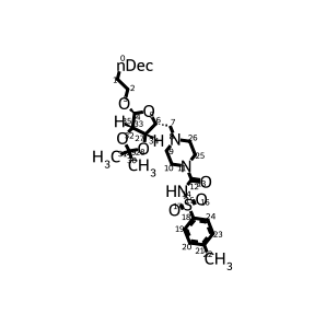 CCCCCCCCCCCCO[C@H]1O[C@H](CN2CCN(C(=O)NS(=O)(=O)c3ccc(C)cc3)CC2)[C@@H]2OC(C)(C)O[C@H]12